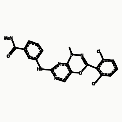 CNC(=O)c1cccc(Nc2ncc3c(n2)N(C)N=C(c2c(Cl)cccc2Cl)O3)c1